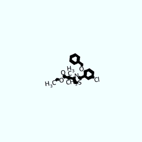 CCOC(=O)C(C)(C)c1csc(-c2cc(Cl)ccc2OCc2ccccc2)n1